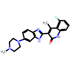 Cc1c(-c2nc3ccc(N4CCN(C)CC4)cc3[nH]2)c(=O)[nH]c2cccc(F)c12